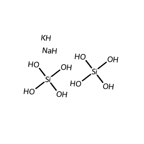 O[Si](O)(O)O.O[Si](O)(O)O.[KH].[NaH]